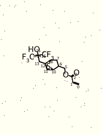 C=CC(=O)OCC1CC2SC1CC2CC(O)(C(F)(F)F)C(F)(F)F